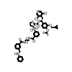 O=C(NCCNC(=O)c1cccc(S(=O)(=O)N2CCS[C@H]2C(=O)O[C@@H](Cc2c(Cl)cncc2Cl)c2ccc(OC(F)F)c(OCC3CC3)c2)c1)c1cccc(CNc2ccccc2)c1